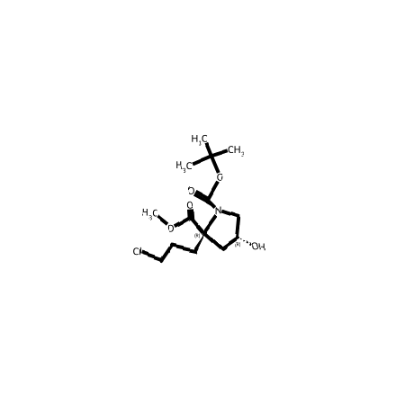 COC(=O)[C@@]1(CCCCl)C[C@@H](O)CN1C(=O)OC(C)(C)C